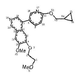 COCCOc1cc2c(-c3ccc(OCC4CC4)nc3)cnnc2cc1OC